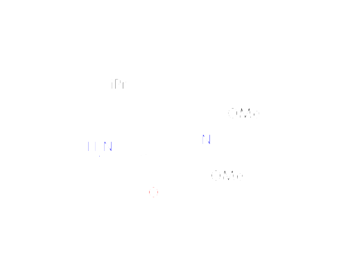 CON(OC)[C@@H](CC(C)C)C(N)=O